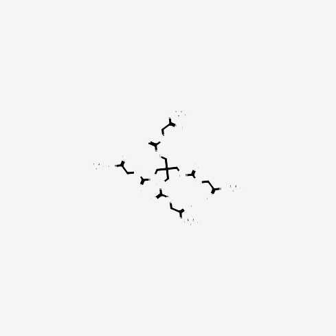 COC(=O)CSC(=S)OCC(COC(=S)SCC(=O)OC)(COC(=S)SCC(=O)OC)COC(=S)SCC(=O)OC